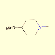 C=[N+]1CCC(NC)CC1